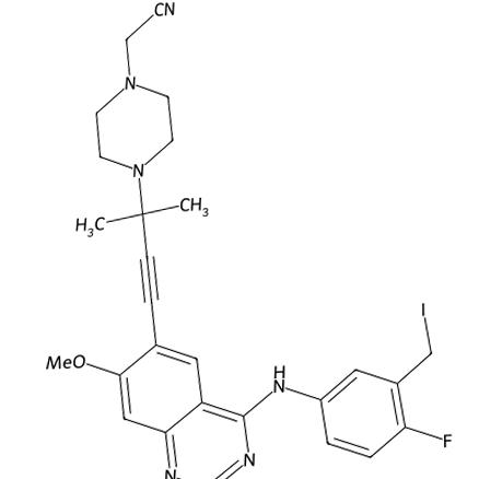 COc1cc2ncnc(Nc3ccc(F)c(CI)c3)c2cc1C#CC(C)(C)N1CCN(CC#N)CC1